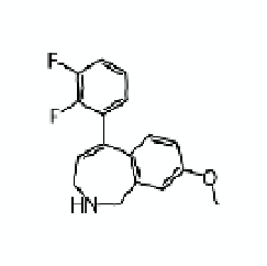 COc1ccc2c(c1)CNCC=C2c1cccc(F)c1F